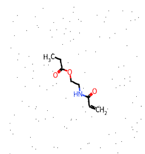 C=CC(=O)NCCOC(=O)CC